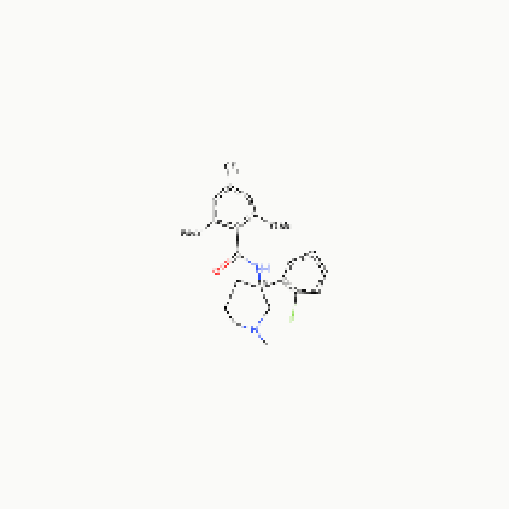 COc1cc(C(F)(F)F)cc(SC)c1C(=O)N[C@]1(c2ccccc2F)CCCN(C)C1